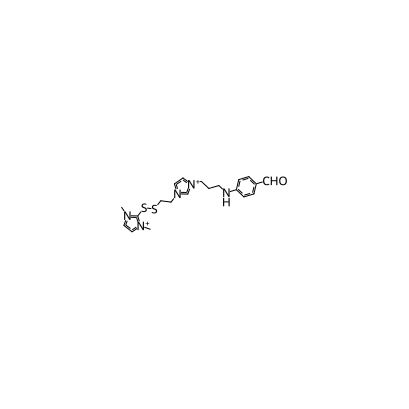 Cn1cc[n+](C)c1SSCCn1cc[n+](CCCNc2ccc(C=O)cc2)c1